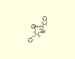 CCCCCN(CS(=O)(=O)NCC(=O)C(CCc1ccccc1)OCc1ccccc1)C(=O)OCc1ccccc1